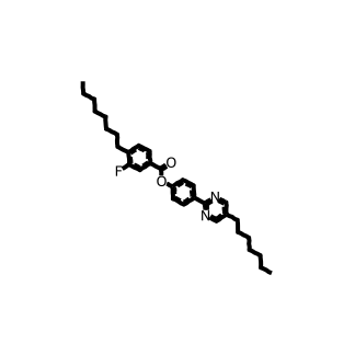 CCCCCCCCc1ccc(C(=O)Oc2ccc(-c3ncc(CCCCCCC)cn3)cc2)cc1F